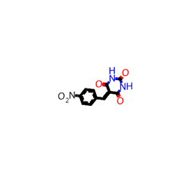 O=C1NC(=O)C(=Cc2ccc([N+](=O)[O-])cc2)C(=O)N1